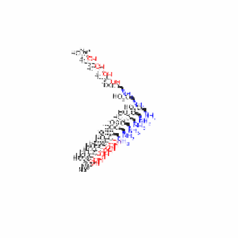 NCC(=O)O.NCC(=O)O.NCC(=O)O.NCC(=O)O.NCC(=O)[O-].NCC(=O)[O-].NCC(=O)[O-].NCC(=O)[O-].O=C(O)O.O=C(O)O.O=C(O)O.O=C(O)O.O=C(O)O.O=C(O)O.O=C(O)O.O=C(O)O.O=C(O)O.O=C(O)O.O=C(O)O.O=C(O)O.[Na+].[Na+].[Na+].[Na+]